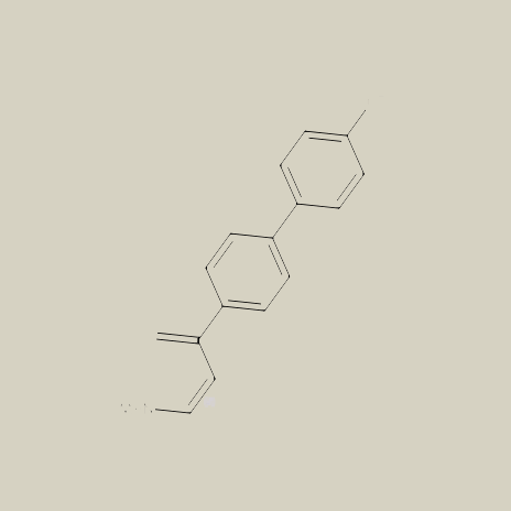 C=C(/C=C\NC)c1ccc(-c2ccc(C(F)(F)F)cc2)cc1